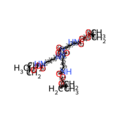 C=C(C)C(=C)OCCOC(=O)NCCCCCC/N=c1\oc(=O)n(CCCCCCNC(=O)OCCOC(=O)C(=C)C)c(=O)n1CCCCCCNC(=O)OCCOC(=C)C(=C)C